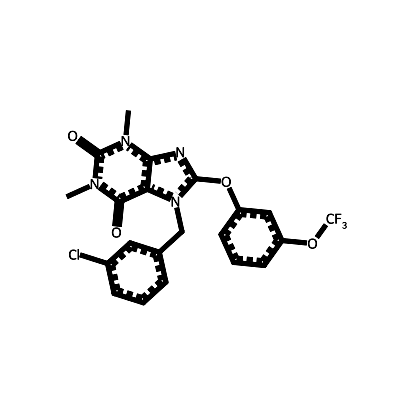 Cn1c(=O)c2c(nc(Oc3cccc(OC(F)(F)F)c3)n2Cc2cccc(Cl)c2)n(C)c1=O